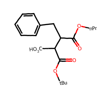 CCCOC(=O)C(Cc1ccccc1)C(C(=O)O)C(=O)OC(C)(C)C